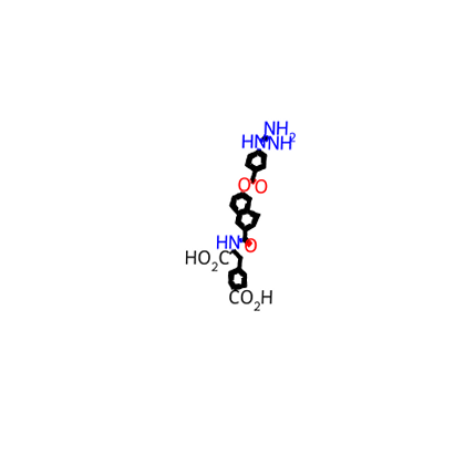 N=C(N)Nc1ccc(C(=O)Oc2ccc3cc(C(=O)N[C@@H](Cc4ccc(C(=O)O)cc4)C(=O)O)ccc3c2)cc1